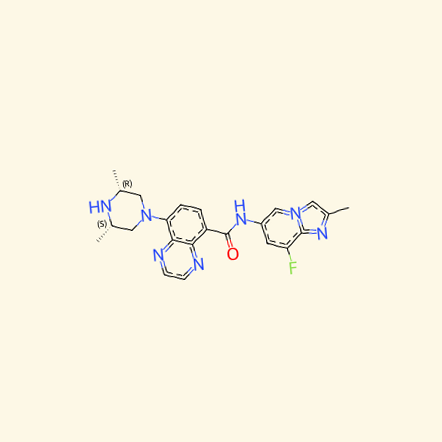 Cc1cn2cc(NC(=O)c3ccc(N4C[C@@H](C)N[C@@H](C)C4)c4nccnc34)cc(F)c2n1